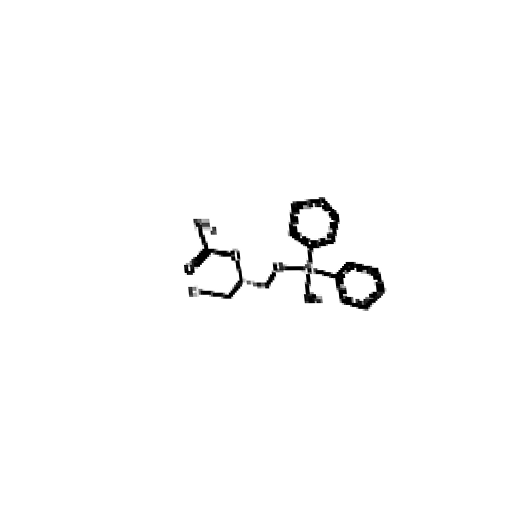 CC(C)(C)[Si](OC[C@H](CCl)OC(N)=O)(c1ccccc1)c1ccccc1